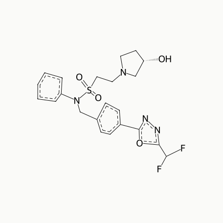 O=S(=O)(CCN1CC[C@H](O)C1)N(Cc1ccc(-c2nnc(C(F)F)o2)cc1)c1ccccc1